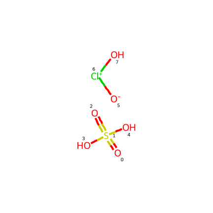 O=S(=O)(O)O.[O-][Cl+]O